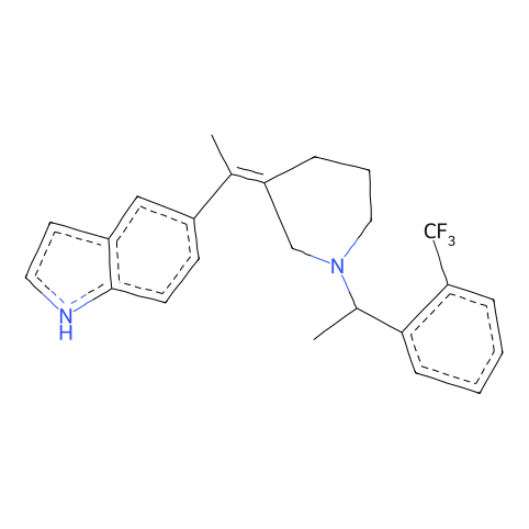 C/C(=C1\CCCN(C(C)c2ccccc2C(F)(F)F)C1)c1ccc2[nH]ccc2c1